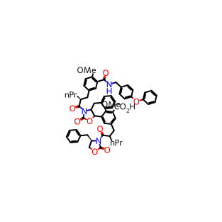 CCCC(Cc1cc(C(=O)O)c(OC)c(C2OC(=O)N(C(=O)[C@@H](CCC)Cc3ccc(OC)c(C(=O)NCc4ccc(Oc5ccccc5)cc4)c3)C2Cc2ccccc2)c1)C(=O)N1C(=O)OC[C@H]1Cc1ccccc1